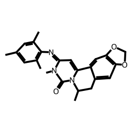 Cc1cc(C)c(/N=c2/cc3n(c(=O)n2C)C(C)Cc2cc4c(cc2-3)OCO4)c(C)c1